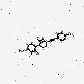 Cc1ccc(C#CC23C=C(F)C(c4ccc(C)c(F)c4F)(CC2)CC3)cc1